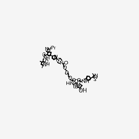 Cc1cc(C)c(CNC(=O)c2cc(-c3ccc(N4CCN(C(=O)COCCOCCOCC(=O)N[C@H](C(=O)N5C[C@H](O)C[C@H]5C(=O)NCc5ccc(-c6scnc6C)cc5)C(C)(C)C)CC4)nc3)cc3c2cnn3C(C)C)c(=O)[nH]1